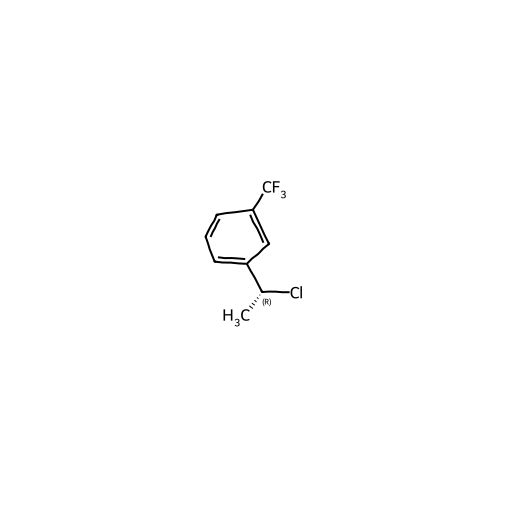 C[C@@H](Cl)c1cccc(C(F)(F)F)c1